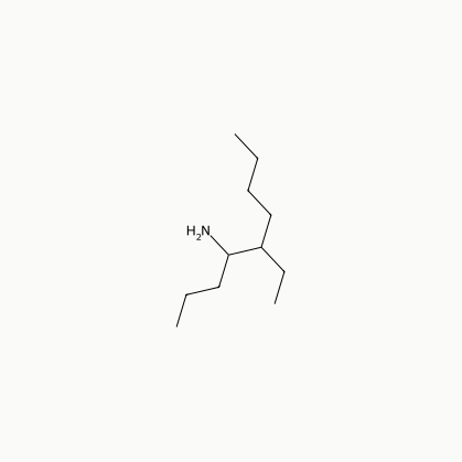 CCCCC(CC)C(N)CCC